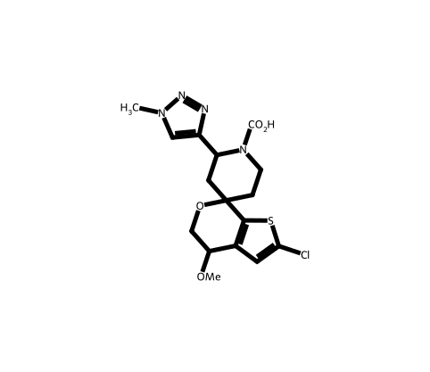 COC1COC2(CCN(C(=O)O)C(c3cn(C)nn3)C2)c2sc(Cl)cc21